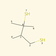 CC(CS)C(C)(C)S